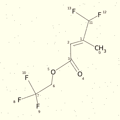 C/C(=C\C(=O)OCC(F)(F)F)C(F)F